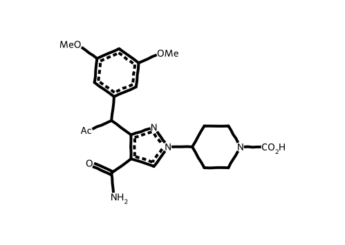 COc1cc(OC)cc(C(C(C)=O)c2nn(C3CCN(C(=O)O)CC3)cc2C(N)=O)c1